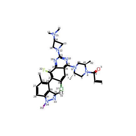 C=CC(=O)N1C[C@H](C)N(c2nc(N3CC(N(C)C)C3)nc3c(F)c(-c4c(C)ccc5c4c(CC)nn5I)c(Cl)cc23)C[C@H]1C